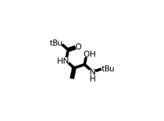 C=C(NC(=O)C(C)(C)C)C(O)NC(C)(C)C